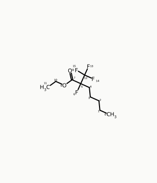 CCCCCC(F)(C(=O)OCC)C(F)(F)F